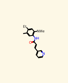 CCc1cc(NC)c(NC(=O)/C=C/c2cccnc2)cc1C